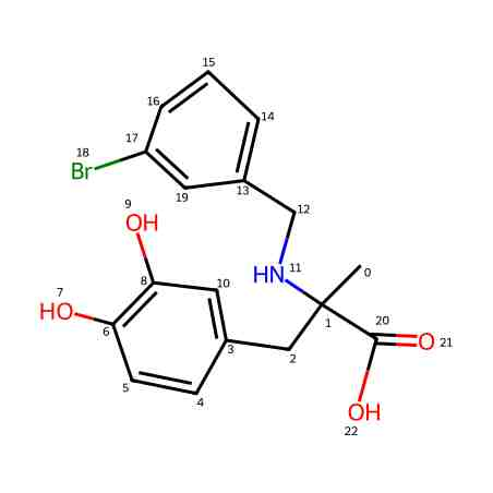 CC(Cc1ccc(O)c(O)c1)(NCc1cccc(Br)c1)C(=O)O